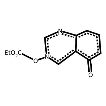 CCOC(=O)On1cnc2cccc(=O)c-2c1